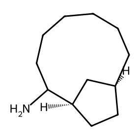 NC1CCCCCC[C@H]2CC[C@@H]1C2